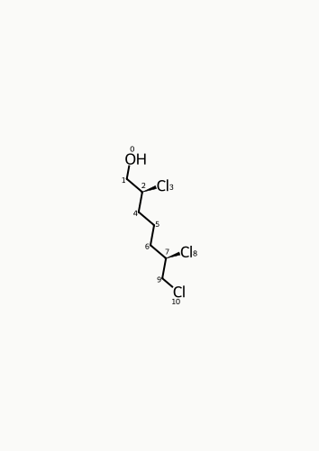 OC[C@@H](Cl)CCC[C@@H](Cl)CCl